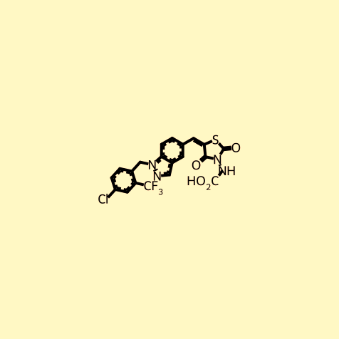 O=C(O)NN1C(=O)SC(=Cc2ccc3c(cnn3Cc3ccc(Cl)cc3C(F)(F)F)c2)C1=O